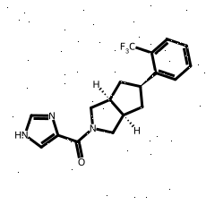 O=C(c1c[nH]cn1)N1C[C@H]2C[C@@H](c3ccccc3C(F)(F)F)C[C@H]2C1